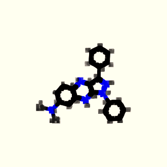 CCN(CC)c1ccc2nc3c(-c4ccccc4)nn(-c4ccccc4)c3nc2c1